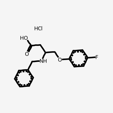 Cl.O=C(O)CC(COc1ccc(F)cc1)NCc1ccccc1